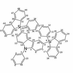 c1ccc(-n2c3ccc([Si]4(c5ccccc5)c5ccccc5-c5ccccc54)cc3c3cc([Si]4(c5ccccc5)c5ccccc5-c5ccccc54)ccc32)cc1